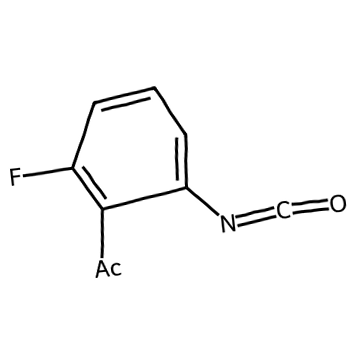 CC(=O)c1c(F)cccc1N=C=O